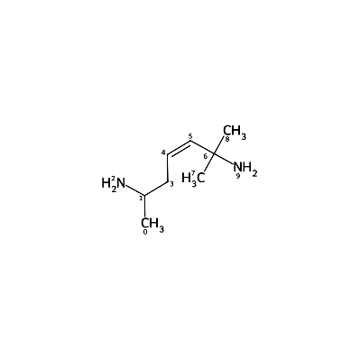 CC(N)C/C=C\C(C)(C)N